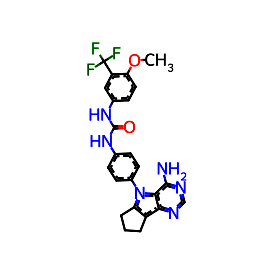 COc1ccc(NC(=O)Nc2ccc(-n3c4c(c5ncnc(N)c53)CCC4)cc2)cc1C(F)(F)F